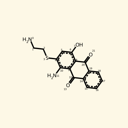 NCCSc1cc(O)c2c(c1N)C(=O)c1ccccc1C2=O